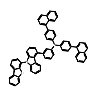 c1cc(-c2cccc3c2c2ccccc2n3-c2cccc3c2oc2ccccc23)cc(N(c2ccc(-c3cccc4ccccc34)cc2)c2ccc(-c3cccc4ccccc34)cc2)c1